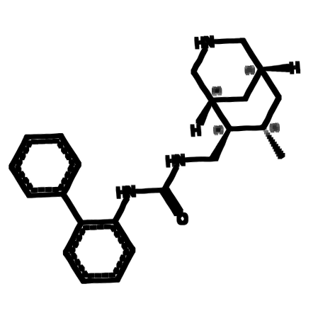 C[C@H]1C[C@H]2CNC[C@H](C2)[C@@H]1CNC(=O)Nc1ccccc1-c1ccccc1